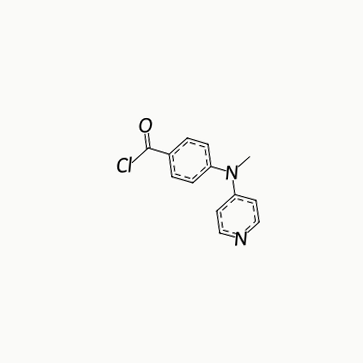 CN(c1ccncc1)c1ccc(C(=O)Cl)cc1